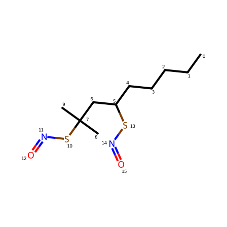 CCCCCC(CC(C)(C)SN=O)SN=O